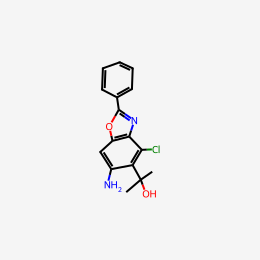 CC(C)(O)c1c(N)cc2oc(-c3ccccc3)nc2c1Cl